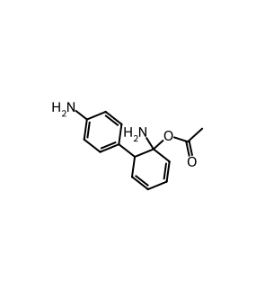 CC(=O)OC1(N)C=CC=CC1c1ccc(N)cc1